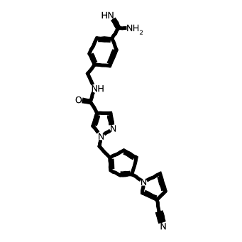 N#Cc1ccn(-c2ccc(Cn3cc(C(=O)NCc4ccc(C(=N)N)cc4)cn3)cc2)c1